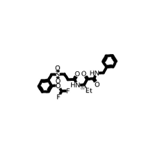 CC[C@H](NC(=O)CCS(=O)(=O)Cc1ccccc1OC(F)F)C(=O)C(=O)NCc1ccccc1